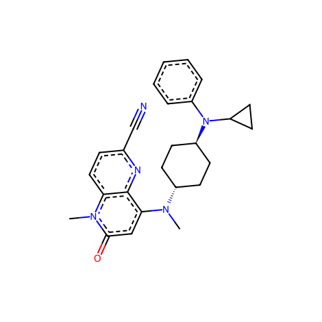 Cn1c(=O)cc(N(C)[C@H]2CC[C@H](N(c3ccccc3)C3CC3)CC2)c2nc(C#N)ccc21